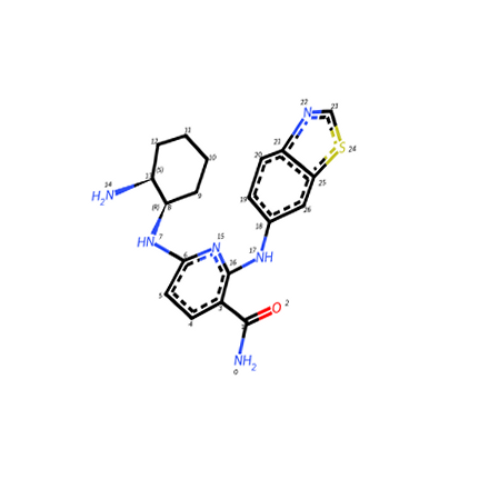 NC(=O)c1ccc(N[C@@H]2CCCC[C@@H]2N)nc1Nc1ccc2ncsc2c1